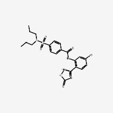 CCCN(CCC)S(=O)(=O)c1ccc(C(=O)Nc2cc(Cl)ccc2-c2nc(=O)o[nH]2)cc1